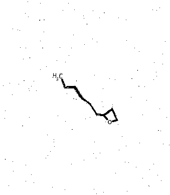 CCCCC[CH]C1CCO1